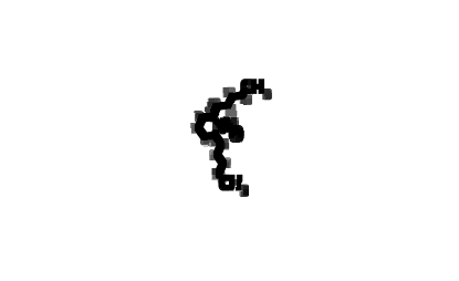 CCCCCC1CCCC(CCCCC)N1N=O